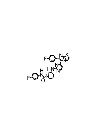 O=C(Nc1ccc(F)cc1)N1CCCC(Nc2nccc(-c3c(-c4ccc(F)cc4)nc4sccn34)n2)C1